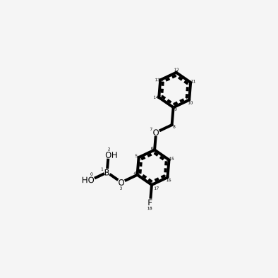 OB(O)Oc1cc(OCc2ccccc2)ccc1F